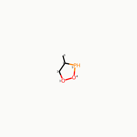 CC1COOP1